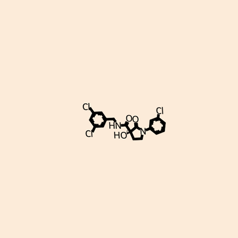 O=C(NCc1cc(Cl)cc(Cl)c1)[C@@]1(O)CCN(c2cccc(Cl)c2)C1=O